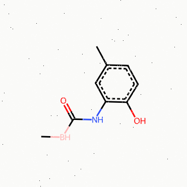 CBC(=O)Nc1cc(C)ccc1O